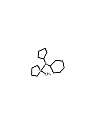 C[Si]1(N(C2CCCCC2)C2CCCC2)CCCC1